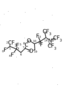 FC(C(F)(F)F)C(F)(F)CC1COC(C(F)(F)C(N(C(F)(F)F)C(F)(F)F)C(F)(F)F)CO1